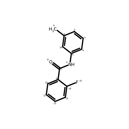 Cc1cccc(NC(=O)c2ccccc2F)c1